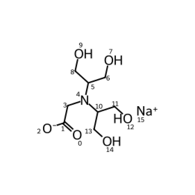 O=C([O-])CN(C(CO)CO)C(CO)CO.[Na+]